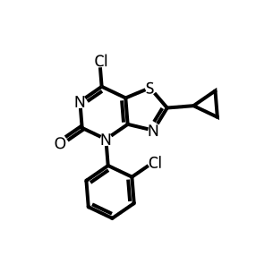 O=c1nc(Cl)c2sc(C3CC3)nc2n1-c1ccccc1Cl